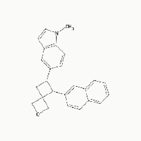 Cn1ccc2cc(C3CC4(COC4)C3c3ccc4ccccc4c3)ccc21